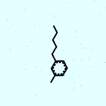 CCCCCc1cc[c]c(C)c1